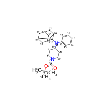 CC(C)(C)OC(=O)N1CCC(N(c2ccccc2)C2C3CC4CC(C3)CC2C4)CC1